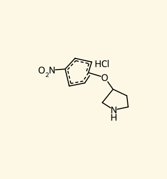 Cl.O=[N+]([O-])c1ccc(OC2CCNC2)cc1